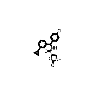 O=C1NC[C@@H](C(=O)NC(c2ccc(Cl)cc2)c2cccc(C3CC3)c2)O1